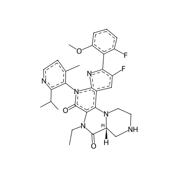 CCN1C(=O)[C@H]2CNCCN2c2c1c(=O)n(-c1c(C)ccnc1C(C)C)c1nc(-c3c(F)cccc3OC)c(F)cc21